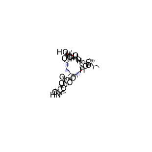 CCC(C)[C@H]1O[C@]2(C=C[C@@H]1C)C[C@@H]1C[C@@H](C/C=C(\C)[C@@H](O[C@H]3C[C@H](OC)[C@@H](O[C@H]4C[C@H](OC)[C@@](C)(NC)[C@H](C)O4)[C@H](C)O3)C(C)/C=C/C=C3\CO[C@@H]4[C@H](O)C(C)=C[C@@H](C(=O)O1)[C@]34O)O2